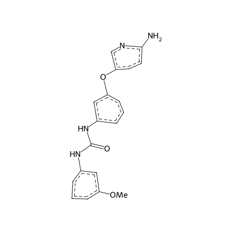 COc1cccc(NC(=O)Nc2cccc(Oc3ccc(N)nc3)c2)c1